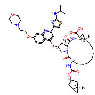 CC(C)Nc1nc(-c2cc(O[C@@H]3C[C@H]4C(=O)N[C@]5(C(=O)O)C[C@H]5CCCCCCC[C@H](NC(=O)O[C@@H]5CC6C[C@@H]6C5)C(=O)N4C3)c3ccc(OCCN4CCOCC4)cc3n2)cs1